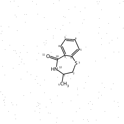 CC1CSc2ccccc2C(=O)N1